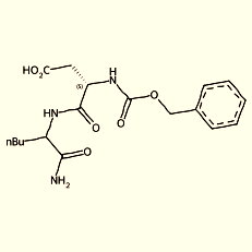 CCCCC(NC(=O)[C@H](CC(=O)O)NC(=O)OCc1ccccc1)C(N)=O